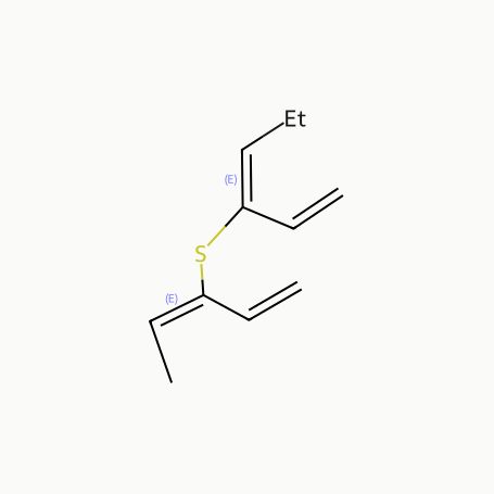 C=C/C(=C\C)S/C(C=C)=C/CC